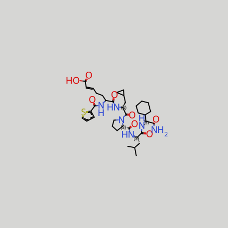 CC(C)C[C@H](NC(=O)[C@@H]1CCCN1C(=O)[C@H](CC1CC1)NC(=O)C(CCC=CC(=O)O)NC(=O)c1cccs1)C(=O)N[C@H](C(N)=O)C1CCCCC1